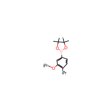 CC(C)Oc1cc(B2OC(C)(C)C(C)(C)O2)ccc1C(C)C